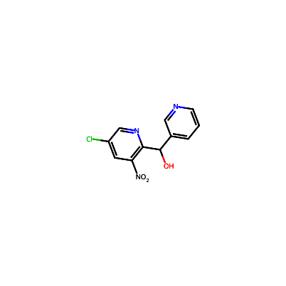 O=[N+]([O-])c1cc(Cl)cnc1C(O)c1cccnc1